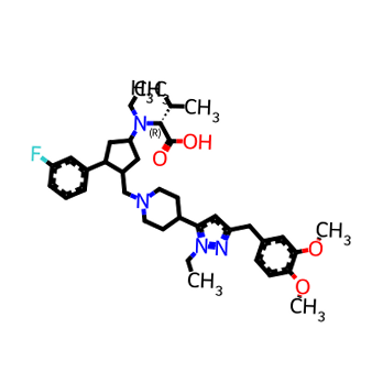 CCN(C1CC(CN2CCC(c3cc(Cc4ccc(OC)c(OC)c4)nn3CC)CC2)C(c2cccc(F)c2)C1)[C@@H](C(=O)O)C(C)C